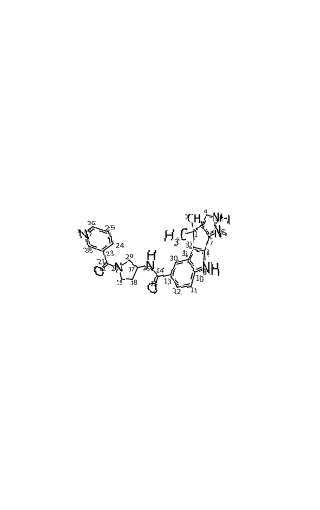 CC1(C)c2c[nH]nc2-c2[nH]c3ccc(C(=O)NC4CCN(C(=O)c5cccnc5)C4)cc3c21